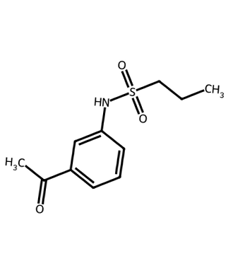 CCCS(=O)(=O)Nc1cccc(C(C)=O)c1